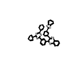 c1ccc(-c2nc(-c3ccccc3)nc(-c3cccc(-c4nc5ccccc5nc4-c4cccc(-c5nc6ccccc6s5)c4)c3)n2)cc1